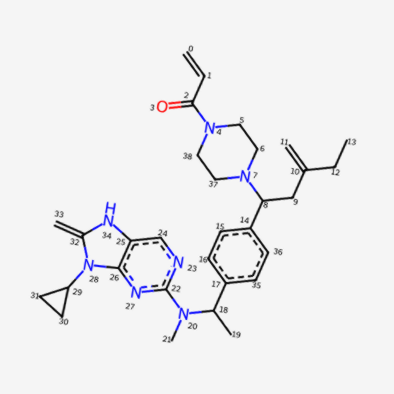 C=CC(=O)N1CCN(C(CC(=C)CC)c2ccc(C(C)N(C)c3ncc4c(n3)N(C3CC3)C(=C)N4)cc2)CC1